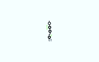 CCc1ccc(CCc2ccc(-c3ccc(C4CCC(C)CC4)c(F)c3F)cc2)c(F)c1